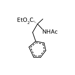 CCOC(=O)[C@@](C)(Cc1ccccc1)NC(C)=O